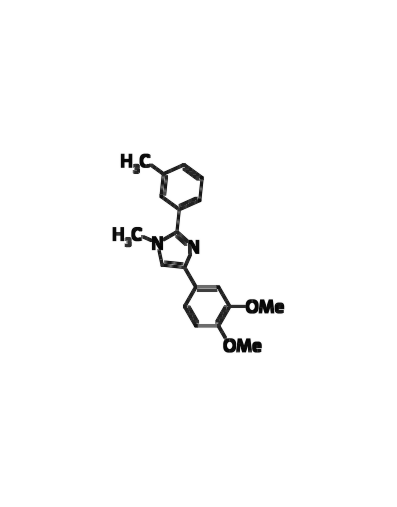 COc1ccc(-c2cn(C)c(-c3cccc(C)c3)n2)cc1OC